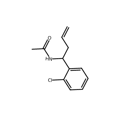 C=CCC(NC(C)=O)c1ccccc1Cl